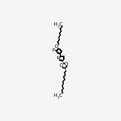 CCCCCCCCCCCC[C@H]1CO[C@H](c2ccc(-c3ccc(OCCCCCCCCCC)c(F)c3)nc2)OC1